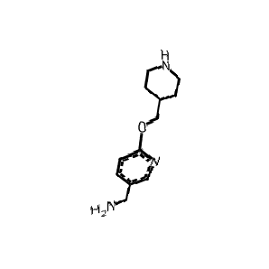 NCc1ccc(OCC2CCNCC2)nc1